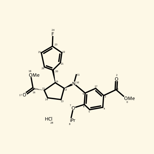 COC(=O)c1ccc(OC(C)C)c(N(C)[C@H]2CC[C@H](C(=O)OC)[C@H]2c2ccc(F)cc2)c1.Cl